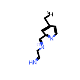 [3H]Cc1ccnc(/C=N/CC=N)c1